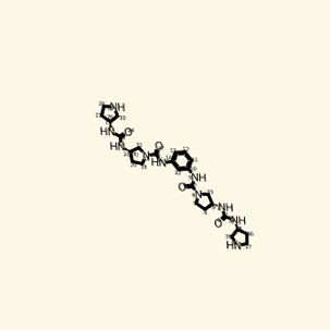 O=C(N[C@@H]1CCN(C(=O)Nc2cccc(NC(=O)N3CC[C@@H](NC(=O)N[C@H]4CCNC4)C3)c2)C1)N[C@H]1CCNC1